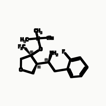 CC(C)(C)[Si](C)(C)O[C@]1(C(F)(F)F)COC[C@@H]1[C@@H](N)Cc1ccccc1F